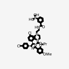 COc1ccc(C2=N[C@@H](c3ccc(Cl)cc3)[C@@H](c3ccc(Cl)cc3)N2C(=O)N2CCN(CCNC(=O)c3cccc(B(O)O)c3)CC2)c(OC(C)C)c1